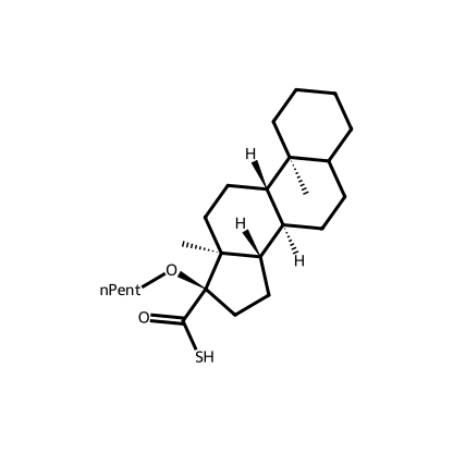 CCCCCO[C@]1(C(=O)S)CC[C@H]2[C@@H]3CCC4CCCC[C@]4(C)[C@H]3CC[C@@]21C